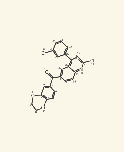 O=C(c1ccc2c(c1)OCCO2)c1ccc2nc(Cl)nc(-c3cccc(Cl)c3)c2c1